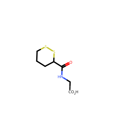 O=C(O)CNC(=O)C1CCCSS1